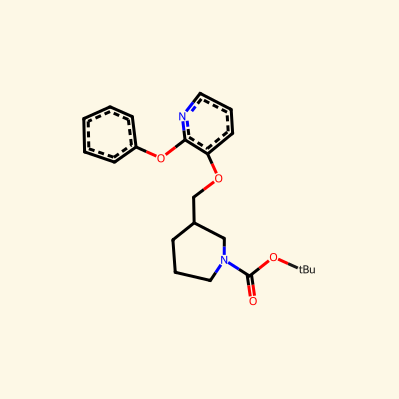 CC(C)(C)OC(=O)N1CCCC(COc2cccnc2Oc2ccccc2)C1